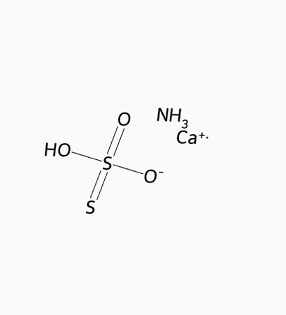 N.O=S([O-])(O)=S.[Ca+]